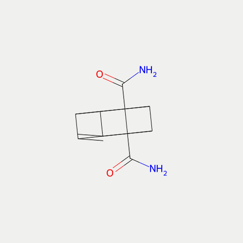 NC(=O)C12C3=C4C5C3C1(C(N)=O)C5C42